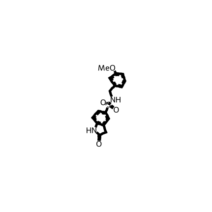 COc1cccc(CNS(=O)(=O)c2ccc3c(c2)CC(=O)N3)c1